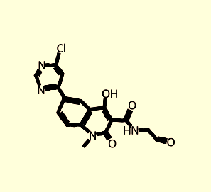 Cn1c(=O)c(C(=O)NCC=O)c(O)c2cc(-c3cc(Cl)ncn3)ccc21